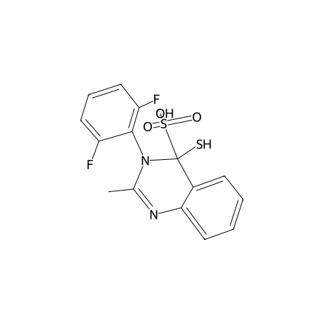 CC1=Nc2ccccc2C(S)(S(=O)(=O)O)N1c1c(F)cccc1F